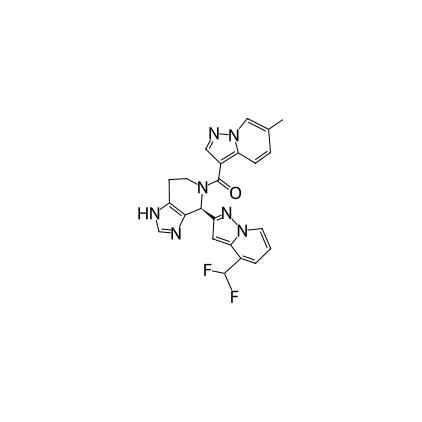 Cc1ccc2c(C(=O)N3CCc4[nH]cnc4[C@@H]3c3cc4c(C(F)F)cccn4n3)cnn2c1